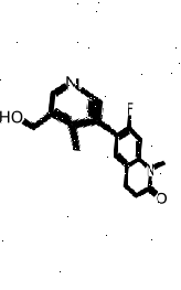 Cc1c(CO)cncc1-c1cc2c(cc1F)N(C)C(=O)CC2